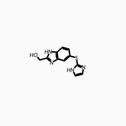 OCc1nc2cc(Sc3ncc[nH]3)ccc2[nH]1